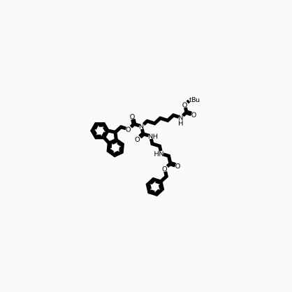 CC(C)(C)OC(=O)NCCCCCN(C(=O)NCCNCC(=O)OCc1ccccc1)C(=O)OCC1c2ccccc2-c2ccccc21